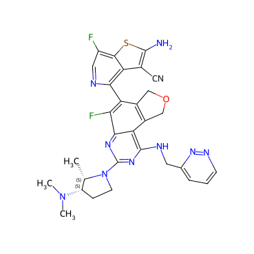 C[C@H]1[C@@H](N(C)C)CCN1c1nc(NCc2cccnn2)c2c3c(c(-c4ncc(F)c5sc(N)c(C#N)c45)c(F)c2n1)COC3